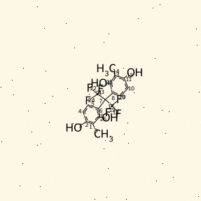 Cc1c(O)ccc(C(c2ccc(O)c(C)c2O)(C(F)(F)F)C(F)(F)F)c1O